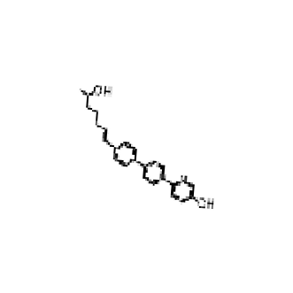 CC(O)CCCC=Cc1ccc(-c2ccc(-c3ccc(O)cn3)cc2)cc1